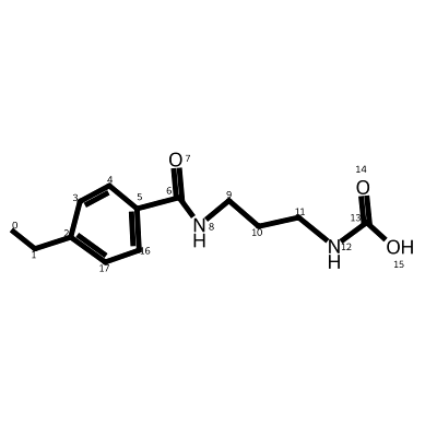 CCc1ccc(C(=O)NCCCNC(=O)O)cc1